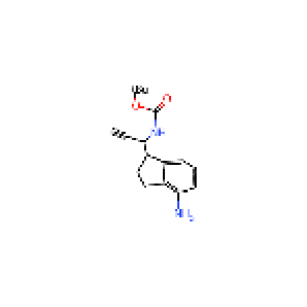 C#CC(NC(=O)OC(C)(C)C)C1CCc2c(N)cccc21